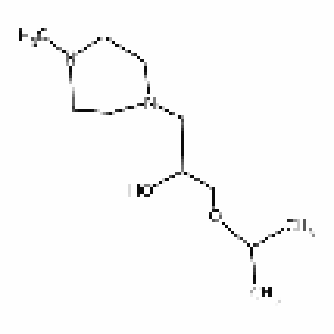 CC(C)OCC(O)CN1CCN(C)CC1